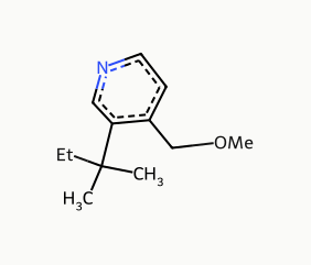 CCC(C)(C)c1cnccc1COC